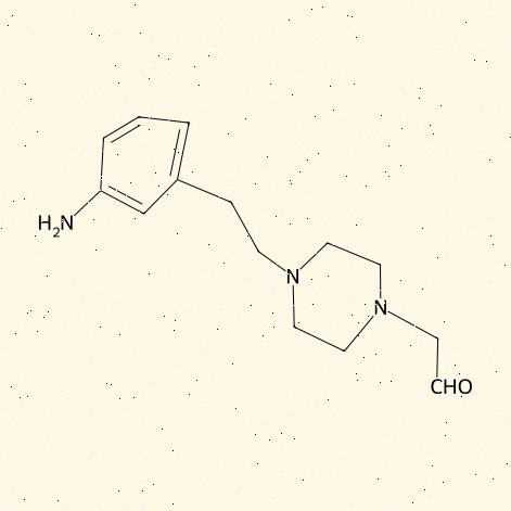 Nc1cccc(CCN2CCN(CC=O)CC2)c1